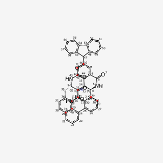 CC[C@H](C)[C@@H]1NC(=O)c2ccccc2/C1=C/C(=O)Nc1ccccc1-c1ccccc1NC(=O)[C@H](Cc1ccccc1)NC(=O)OCC1c2ccccc2-c2ccccc21